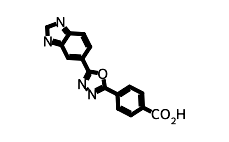 O=C(O)c1ccc(-c2nnc(-c3ccc4c(c3)=NCN=4)o2)cc1